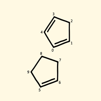 C1=CCC=C1.C1=CCCC1